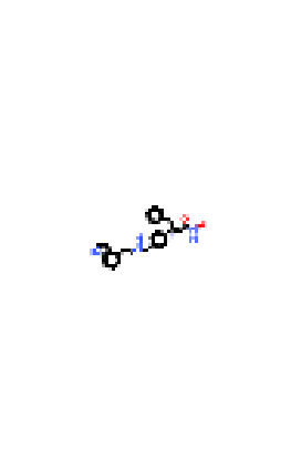 O=C(/C=C(\Cc1ccccc1)c1ccc(CNCCc2cccc3[nH]ccc23)cc1)NO